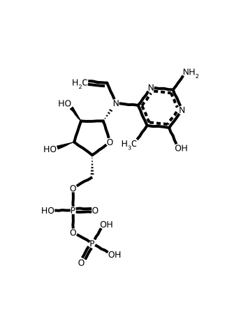 C=CN(c1nc(N)nc(O)c1C)[C@@H]1O[C@H](COP(=O)(O)OP(=O)(O)O)[C@@H](O)[C@H]1O